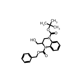 CC(C)(C)OC(=O)N1CC(CO)N(C(=O)OCc2ccccc2)c2ccccc21